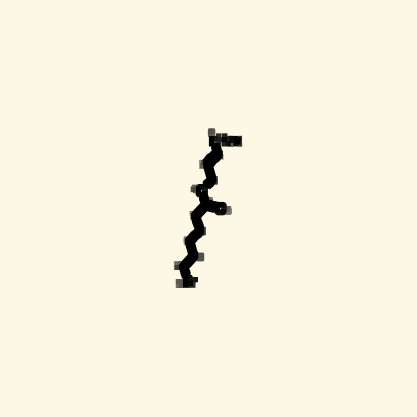 CCCCCCC=CCOC(=O)CCCCCBr